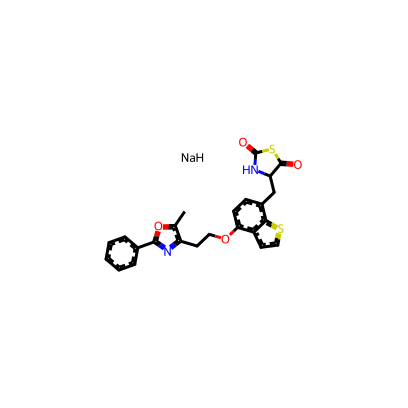 Cc1oc(-c2ccccc2)nc1CCOc1ccc(CC2NC(=O)SC2=O)c2sccc12.[NaH]